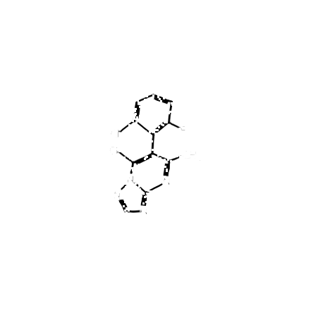 Cc1nc2ncnn2c(Cl)c1-c1c(F)cccc1Cl